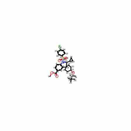 COC(=O)c1ccc2c(c1)C1(CCC(O[Si](C)(C)C(C)(C)C)CC1)C(C1CC1)N2S(=O)(=O)c1ccc(F)cc1